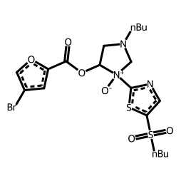 CCCCN1CC(OC(=O)c2cc(Br)co2)[N+]([O-])(c2ncc(S(=O)(=O)CCCC)s2)C1